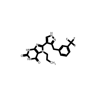 CCCn1c(-c2c[nH]nc2Cc2cccc(C(F)(F)F)c2)nc2[nH]c(=O)[nH]c(=O)c21